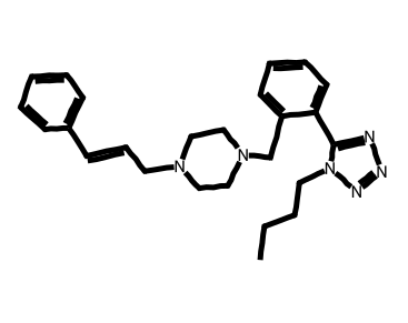 CCCCn1nnnc1-c1ccccc1CN1CCN(CC=Cc2ccccc2)CC1